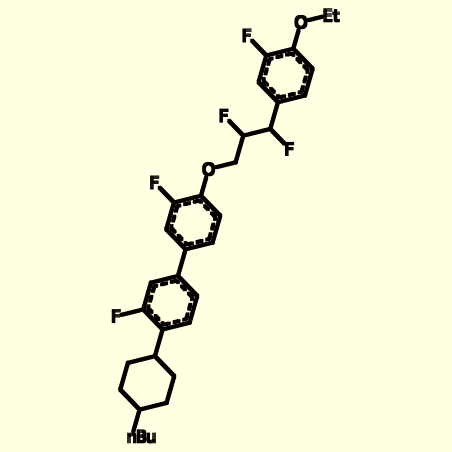 CCCCC1CCC(c2ccc(-c3ccc(OCC(F)C(F)c4ccc(OCC)c(F)c4)c(F)c3)cc2F)CC1